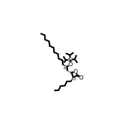 CCCCCCCCCCC[C@H](C[C@@H]1OC(=O)[C@H]1CCCCCC)O[Si](C(C)C)(C(C)C)C(C)C